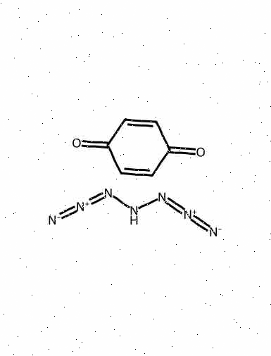 O=C1C=CC(=O)C=C1.[N-]=[N+]=NNN=[N+]=[N-]